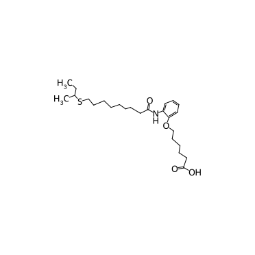 CCC(C)SCCCCCCCCC(=O)Nc1ccccc1OCCCCCC(=O)O